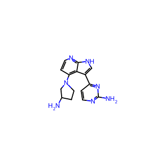 Nc1nccc(-c2c[nH]c3nccc(N4CCC(N)C4)c23)n1